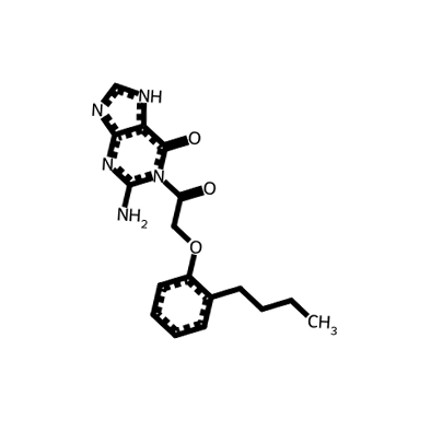 CCCCc1ccccc1OCC(=O)n1c(N)nc2nc[nH]c2c1=O